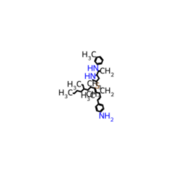 C=C(CCc1ccc(N)cc1)/C(C)=C(\SC1CNC(C(=C)Nc2cccc(C)c2)C1)C(C)C(C)C(CC)CCCC